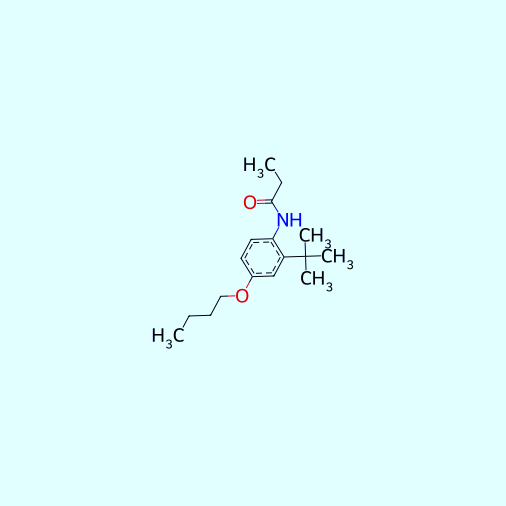 CCCCOc1ccc(NC(=O)CC)c(C(C)(C)C)c1